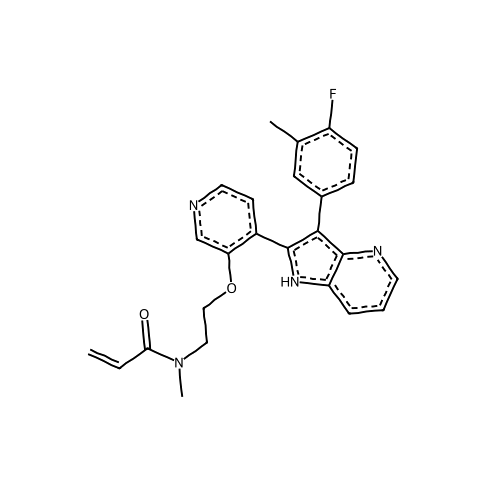 C=CC(=O)N(C)CCOc1cnccc1-c1[nH]c2cccnc2c1-c1ccc(F)c(C)c1